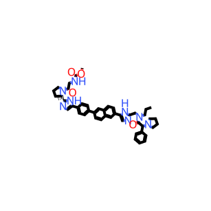 CCCN(Cc1ncc(-c2ccc3cc(-c4ccc(-c5cnc([C@@H]6CCCN6C(=O)CNC(=O)OC)[nH]5)cc4)ccc3c2)[nH]1)C(=O)C(c1ccccc1)N1CCCC1